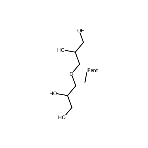 CCCC(C)C.OCC(O)COCC(O)CO